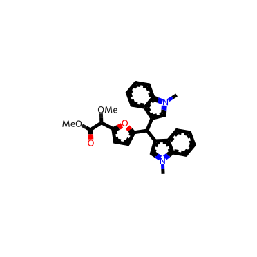 COC(=O)C(OC)c1ccc(C(c2cn(C)c3ccccc23)c2cn(C)c3ccccc23)o1